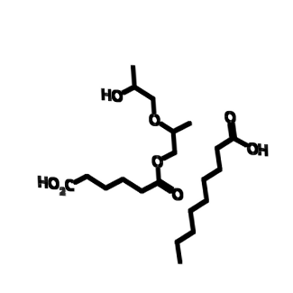 CC(O)COC(C)COC(=O)CCCCC(=O)O.CCCCCCCCC(=O)O